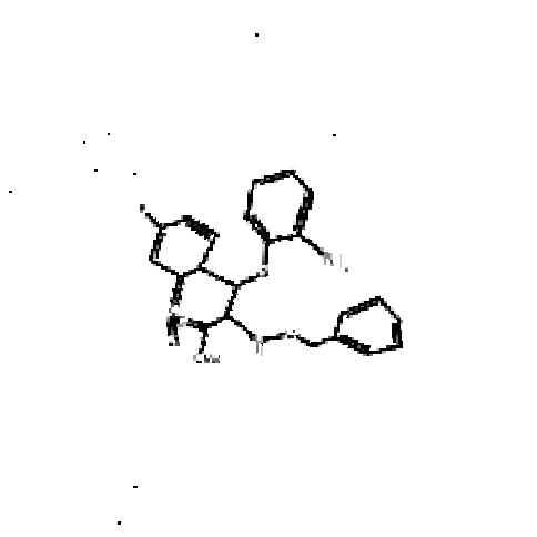 COC(=O)C(NOCc1ccccc1)C(Sc1ccccc1N)C1C=CC(F)=CC1=C=O